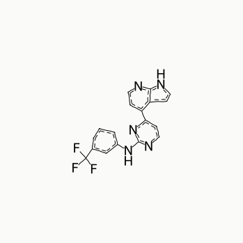 FC(F)(F)c1cccc(Nc2nccc(-c3ccnc4[nH]ccc34)n2)c1